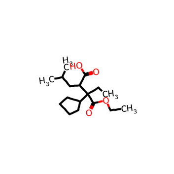 CCOC(=O)C(CC)(C1CCCC1)C(CC(C)C)C(=O)O